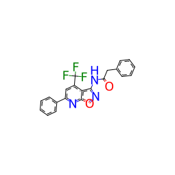 O=C(Cc1ccccc1)Nc1noc2nc(-c3ccccc3)cc(C(F)(F)F)c12